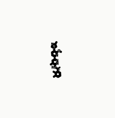 COc1nc(-c2cc(C)c(N[C@@H](C)c3cccc(C)c3C)nn2)ccc1-n1cnc(C)c1